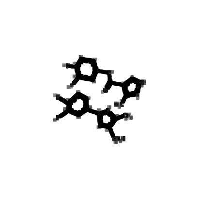 Cc1n[nH]cc1C(=O)Oc1ccc(F)c(F)c1.Cc1nn(-c2ccc(F)c(F)c2)cc1C(=O)O